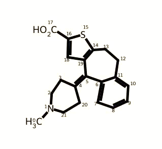 CN1CCC(=C2c3ccccc3CCc3sc(C(=O)O)cc32)CC1